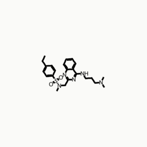 CCc1ccc(S(=O)(=O)N(C)Cc2nc(NCCCN(C)C)c3ccccc3n2)cc1